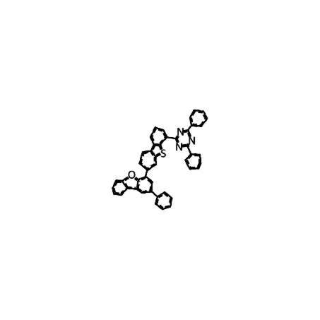 c1ccc(-c2cc(-c3ccc4c(c3)sc3c(-c5nc(-c6ccccc6)nc(-c6ccccc6)n5)cccc34)c3oc4ccccc4c3c2)cc1